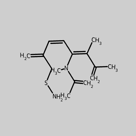 C=C(/C=C\C(=C(/C)C(=C)C)N(C)C(=C)C)CSN